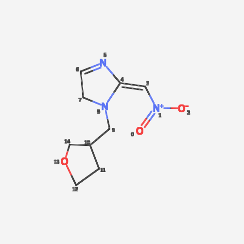 O=[N+]([O-])C=C1N=CCN1CC1CCOC1